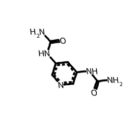 NC(=O)Nc1cncc(NC(N)=O)c1